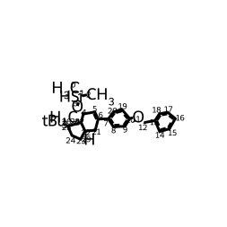 C[SiH](C)OC1C=C(c2ccc(OCc3ccccc3)cc2)C[C@@H]2CC[C@@H](C(C)(C)C)[C@@]12C